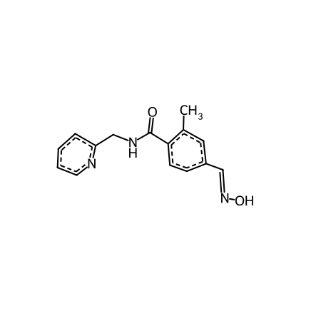 Cc1cc(C=NO)ccc1C(=O)NCc1ccccn1